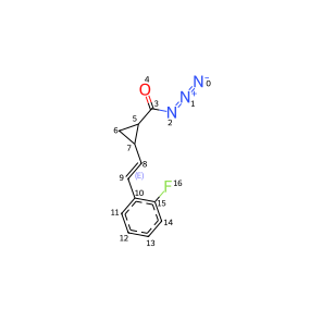 [N-]=[N+]=NC(=O)C1CC1/C=C/c1ccccc1F